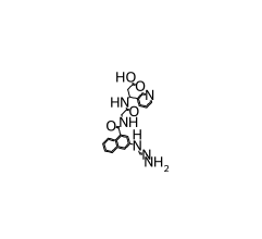 NN=CNc1cc(C(=O)NCC(=O)NC(CC(=O)O)c2cccnc2)c2ccccc2c1